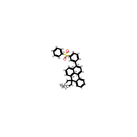 CCC1(CC)c2ccccc2-c2ccc(-c3cccc(S(=O)(=O)c4ccccc4)c3)c3cccc1c23